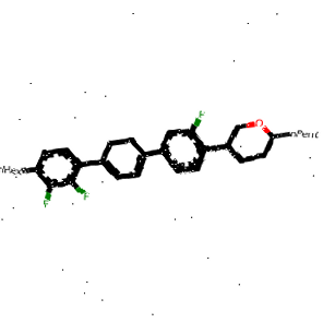 CCCCCCc1ccc(C2=CC=C(c3ccc(C4CCC(CCCCC)OC4)c(F)c3)CC2)c(F)c1F